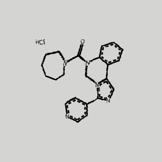 Cl.O=C(N1CCCCCC1)N1Cn2c(cnc2-c2ccncc2)-c2ccccc21